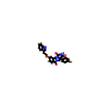 O=C1NC(=O)C(CN2Cc3cc(OCCc4c[nH]c5ccccc45)ccc3C2=O)(c2ccc(Br)cc2)N1